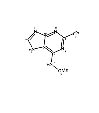 CCCc1nc(NOC)c2[nH]cnc2n1